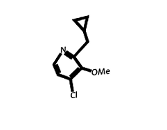 COc1c(Cl)ccnc1CC1CC1